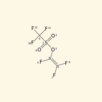 O=S(=O)(OC(F)=C(F)F)C(F)(F)F